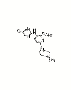 COc1nc(N2CCN(C)CC2)ccc1Nc1ncc(Cl)cn1